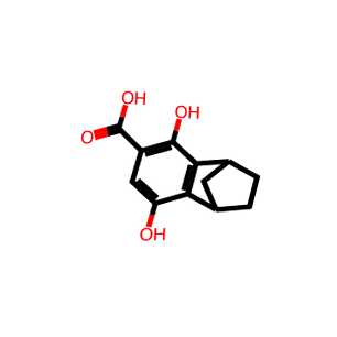 O=C(O)c1cc(O)c2c(c1O)C1CCC2C1